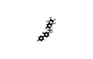 Cc1cc(NS(=O)(=O)c2nc3[nH]c(=O)c(=O)[nH]c3cc2C)ccc1-c1ccc(F)cc1